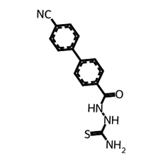 N#Cc1ccc(-c2ccc(C(=O)NNC(N)=S)cc2)cc1